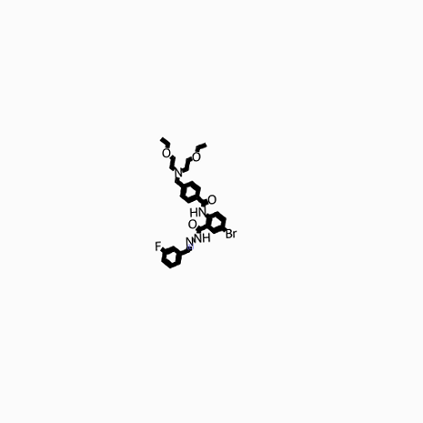 CCOCCN(CCOCC)Cc1ccc(C(=O)Nc2ccc(Br)cc2C(=O)N/N=C/c2cccc(F)c2)cc1